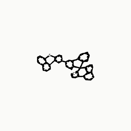 c1ccc2c(c1)-c1cc(-c3ccc4c(c3)-c3cccc5cccc(c35)S4)ccc1C21c2ccccc2-c2cccc3cccc1c23